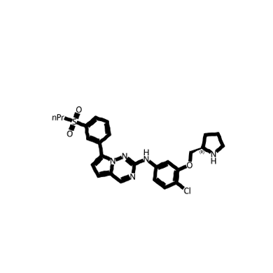 CCCS(=O)(=O)c1cccc(-c2ccc3cnc(Nc4ccc(Cl)c(OC[C@H]5CCCN5)c4)nn23)c1